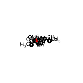 Cc1cccc(-c2cccc3c2C=C(C(C)C)[CH]3[Zr]([Cl])([Cl])([B](NC=O)NC=O)[CH]2C(C(C)C)=Cc3c(-c4cccc(C)c4C)cccc32)c1C